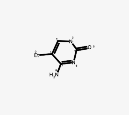 CCC1=C[N]C(=O)N=C1N